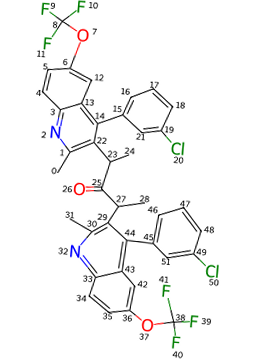 Cc1nc2ccc(OC(F)(F)F)cc2c(-c2cccc(Cl)c2)c1C(C)C(=O)C(C)c1c(C)nc2ccc(OC(F)(F)F)cc2c1-c1cccc(Cl)c1